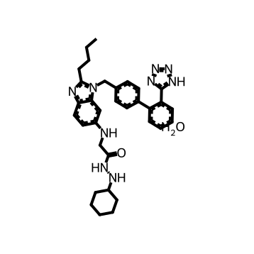 CCCCc1nc2ccc(NCC(=O)NNC3CCCCC3)cc2n1Cc1ccc(-c2ccccc2-c2nnn[nH]2)cc1.O